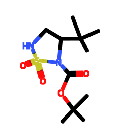 CC(C)(C)OC(=O)N1C(C(C)(C)C)CNS1(=O)=O